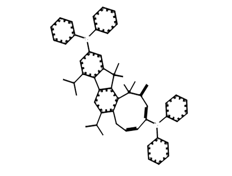 C=C1/C=C(N(c2ccccc2)c2ccccc2)\C=C/Cc2c(C(C)C)cc3c(c2C1(C)C)C(C)(C)c1cc(N(c2ccccc2)c2ccccc2)cc(C(C)C)c1-3